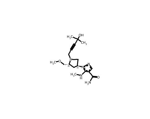 CNc1c(C(N)=O)cnn1[C@H]1C[C@H](COC)N(CC#CC(C)(C)O)C1